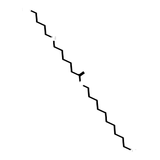 CC(C)CCCCCCCCCCOC(=O)CCCCCNCCCCO